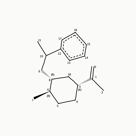 C=C(C)[C@@H]1CC[C@@H](C)[C@H](CC(C)c2ccccc2)C1